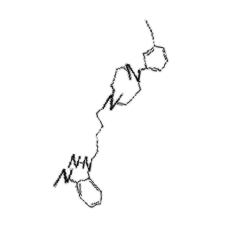 Cc1cccc(N2CCN(CCCCn3nnc4ccccc43)CC2)c1